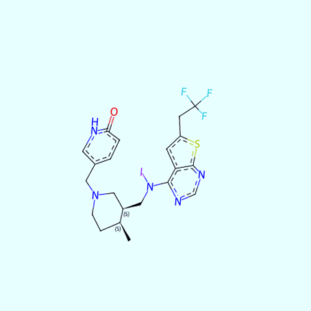 C[C@H]1CCN(Cc2ccc(=O)[nH]c2)C[C@H]1CN(I)c1ncnc2sc(CC(F)(F)F)cc12